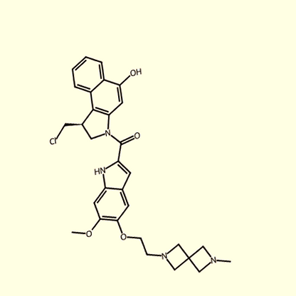 COc1cc2[nH]c(C(=O)N3C[C@@H](CCl)c4c3cc(O)c3ccccc43)cc2cc1OCCN1CC2(CN(C)C2)C1